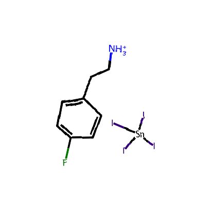 [I][Sn]([I])([I])[I].[NH3+]CCc1ccc(F)cc1